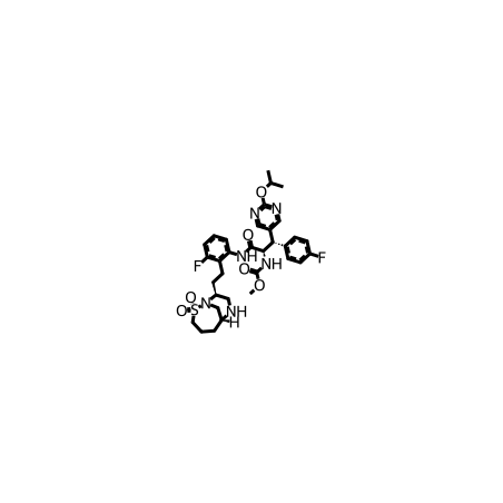 COC(=O)N[C@H](C(=O)Nc1cccc(F)c1CC[C@H]1CN[C@@H]2CCCS(=O)(=O)N1C2)[C@@H](c1ccc(F)cc1)c1cnc(OC(C)C)nc1